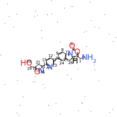 NCC1OC(=O)N2c3ccc(-c4ccc(C5=NOC(CO)C5)nc4)cc3C[C@@H]12